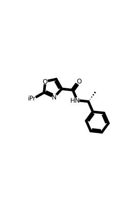 CC(C)c1nc(C(=O)N[C@H](C)c2ccccc2)co1